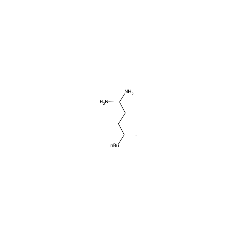 CCCCC(C)CCC(N)N